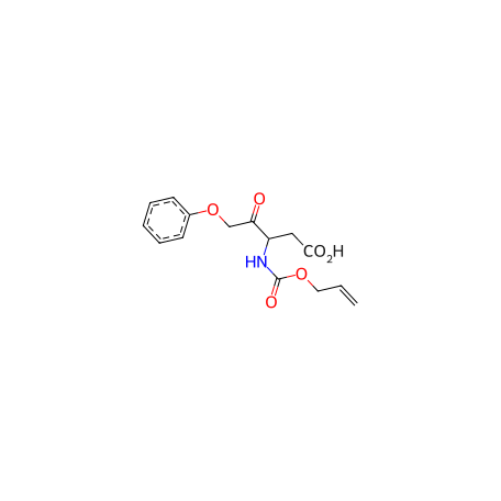 C=CCOC(=O)NC(CC(=O)O)C(=O)COc1ccccc1